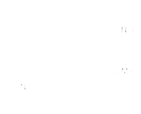 COc1cc(-c2cccnc2)ccc1N=O